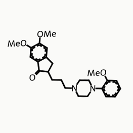 COc1cc2c(cc1OC)C(=O)C(CCCN1CCN(c3ccccc3OC)CC1)C2